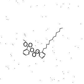 CCCCCCCCCCCCc1ccccc1OC(=O)Oc1ccccc1C(=O)OCC